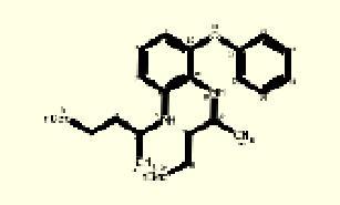 CCCCCCCCCCCCC(C)Nc1cccc(Oc2ccccc2)c1NC(C)CCCCCCCCCCCC